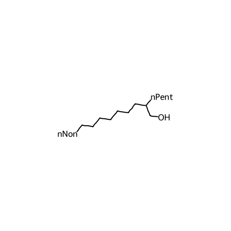 CCCCCCCCCCCCCCCCC(CO)CCCCC